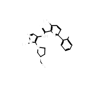 Cn1ncc(NC(=O)c2nc(-c3ccccc3F)ccc2N)c1N1CC[C@@H](CN)C1